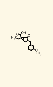 CCC1(C(=O)O)C2CC(Cc3cccc(OC)c3)C(=O)C21